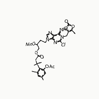 COC(CCn1cnc2c(=N)n(Cc3oc(=O)oc3C)c(Cl)nc21)COC(=O)CC(C)(C)c1c(C)cc(C)cc1OC(C)=O